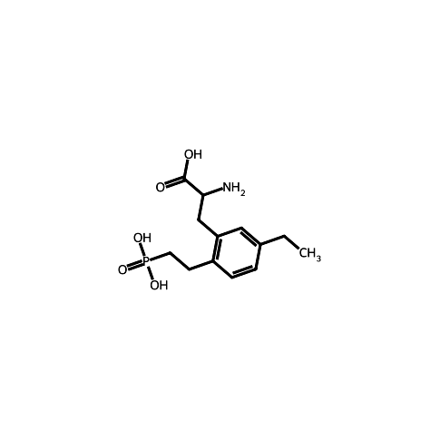 CCc1ccc(CCP(=O)(O)O)c(CC(N)C(=O)O)c1